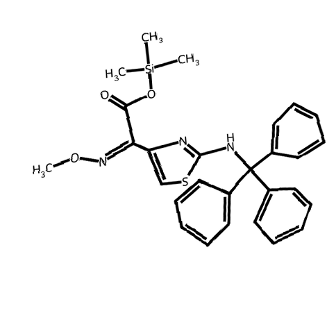 CO/N=C(\C(=O)O[Si](C)(C)C)c1csc(NC(c2ccccc2)(c2ccccc2)c2ccccc2)n1